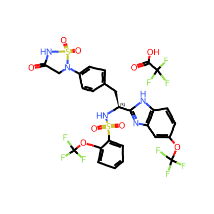 O=C(O)C(F)(F)F.O=C1CN(c2ccc(C[C@H](NS(=O)(=O)c3ccccc3OC(F)(F)F)c3nc4cc(OC(F)(F)F)ccc4[nH]3)cc2)S(=O)(=O)N1